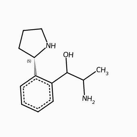 CC(N)C(O)c1ccccc1[C@@H]1CCCN1